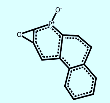 [O-][p+]1c2c(cc3c4ccccc4ccc31)O2